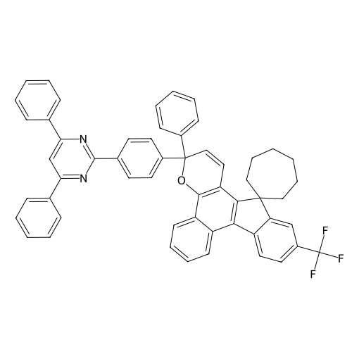 FC(F)(F)c1ccc2c(c1)C1(CCCCCC1)c1c3c(c4ccccc4c1-2)OC(c1ccccc1)(c1ccc(-c2nc(-c4ccccc4)cc(-c4ccccc4)n2)cc1)C=C3